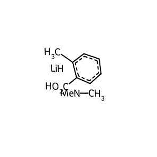 CNC.Cc1ccccc1C(=O)O.[LiH]